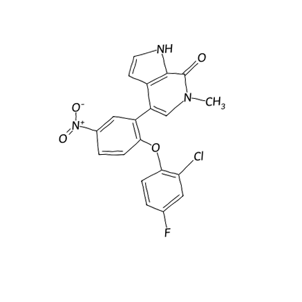 Cn1cc(-c2cc([N+](=O)[O-])ccc2Oc2ccc(F)cc2Cl)c2cc[nH]c2c1=O